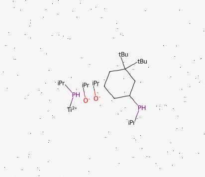 CC(C)PC1CCCC(C(C)(C)C)(C(C)(C)C)C1.CC(C)[O-].CC(C)[O-].CC(C)[PH][Ti+2]